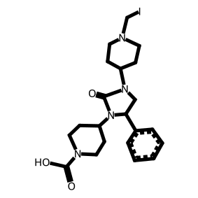 O=C(O)N1CCC(N2C(=O)N(C3CCN(CI)CC3)CC2c2ccccc2)CC1